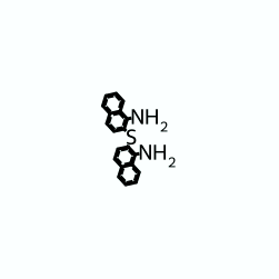 Nc1c(Sc2ccc3ccccc3c2N)ccc2ccccc12